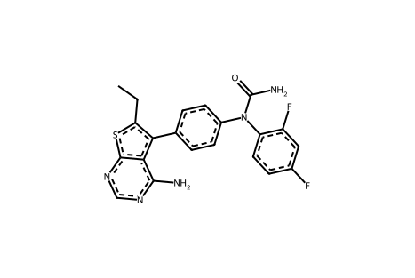 CCc1sc2ncnc(N)c2c1-c1ccc(N(C(N)=O)c2ccc(F)cc2F)cc1